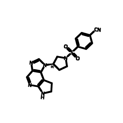 N#Cc1ccc(S(=O)(=O)N2CC[C@@H](n3cnc4cnc5c(c43)CCN5)C2)cc1